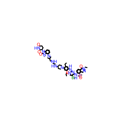 CCOc1cc(N2CCC(NCCNCC3CN(c4cccc5c4n(C)c(=O)n5C4CCC(=O)NC4=O)C3)CC2)c(CC)cc1Nc1ncc(Br)c(Nc2ccc3c(=O)n(CC)ncc3c2P(C)(C)=O)n1